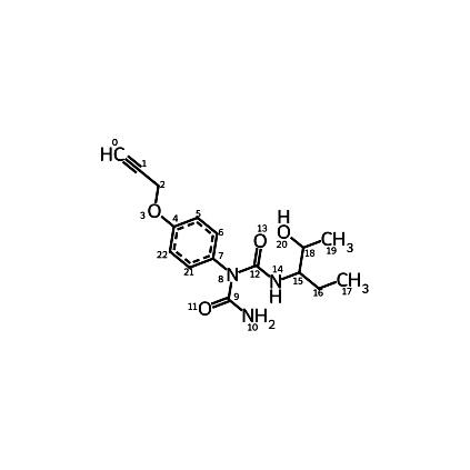 C#CCOc1ccc(N(C(N)=O)C(=O)NC(CC)C(C)O)cc1